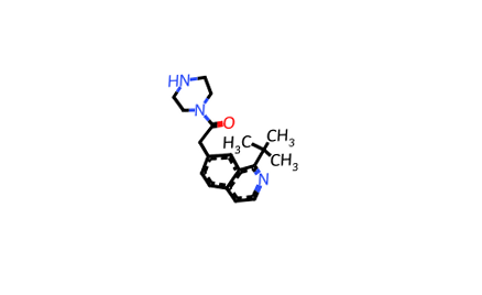 CC(C)(C)c1nccc2ccc(CC(=O)N3CCNCC3)cc12